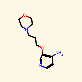 Nc1ccncc1OCCCN1CCOCC1